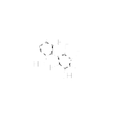 Cc1ccc(F)c(F)c1-c1c(F)c(C)c(F)c(F)c1F